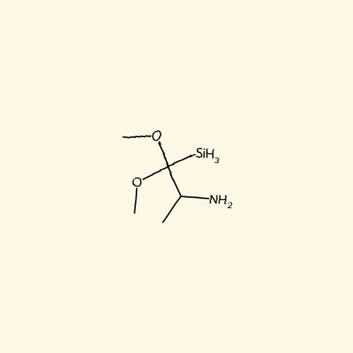 COC([SiH3])(OC)C(C)N